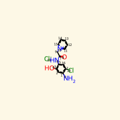 Nc1cc(O)c(NC(=O)C[n+]2ccccc2)cc1Cl.[Cl-]